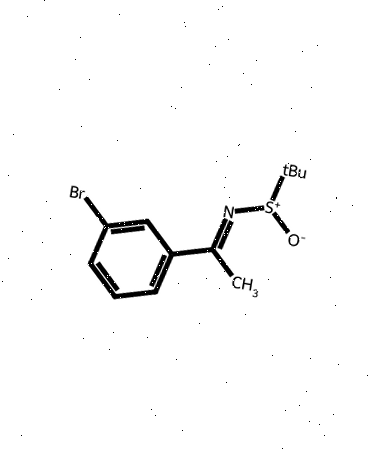 CC(=N[S+]([O-])C(C)(C)C)c1cccc(Br)c1